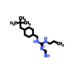 CCCN/C(=N\C=N)NCC1CCC(CC(C)(C)C)CC1